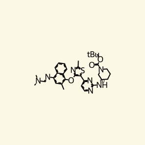 Cc1nc(Oc2c(C)cc(N=CN(C)C)c3ccccc23)c(-c2ccnc(N[C@H]3CCCN(C(=O)OC(C)(C)C)C3)n2)s1